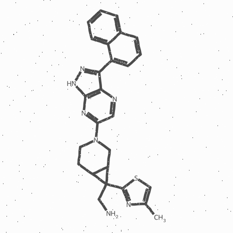 Cc1csc(C2(CN)C3CCN(c4cnc5c(-c6cccc7ccccc67)n[nH]c5n4)CC32)n1